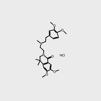 COc1ccc(CCN(C)CCN2CC(C)(C)c3cc(OC)c(OC)cc3C2=O)cc1OC.Cl